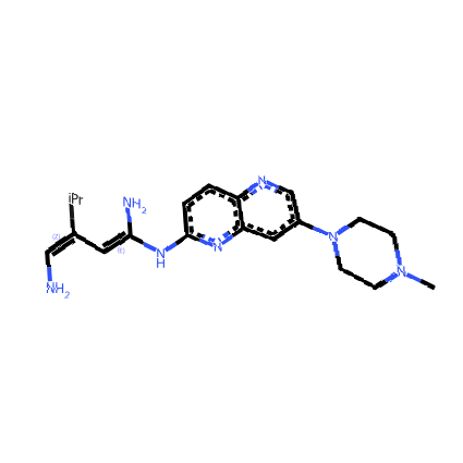 CC(C)C(=C/N)/C=C(\N)Nc1ccc2ncc(N3CCN(C)CC3)cc2n1